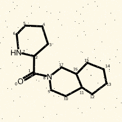 O=C(C1CCCCN1)N1CCC2CCCCC2C1